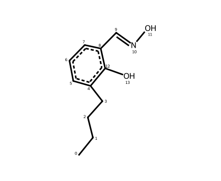 CCCCc1cccc(C=NO)c1O